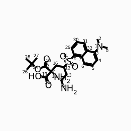 CN(C)c1cccc2c(S(=O)(=O)C(CCN)C[C@](N)(C(=O)O)C(=O)OC(C)(C)C)cccc12